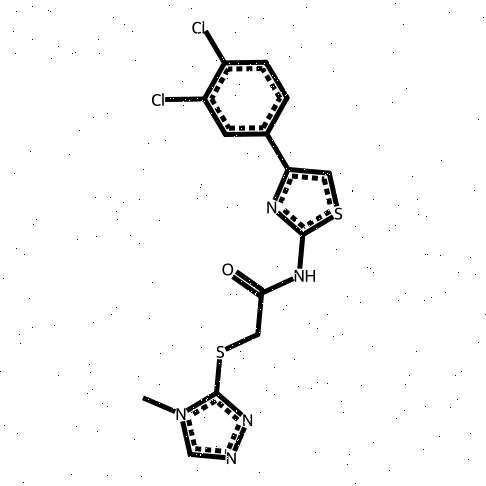 Cn1cnnc1SCC(=O)Nc1nc(-c2ccc(Cl)c(Cl)c2)cs1